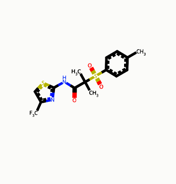 Cc1ccc(S(=O)(=O)C(C)(C)C(=O)Nc2nc(C(F)(F)F)cs2)cc1